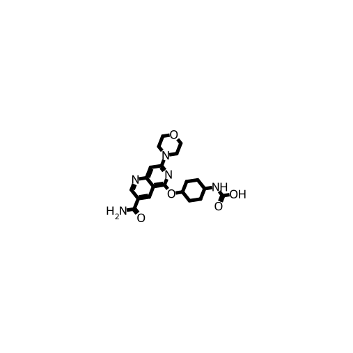 NC(=O)c1cnc2cc(N3CCOCC3)nc(OC3CCC(NC(=O)O)CC3)c2c1